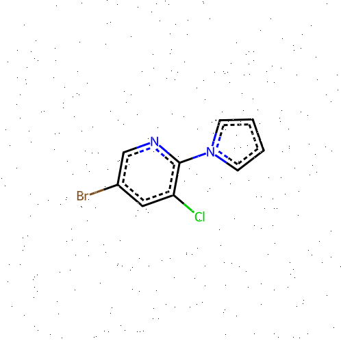 Clc1cc(Br)cnc1-n1[c]ccc1